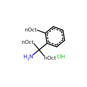 CCCCCCCCc1ccccc1C(N)(CCCCCCCC)CCCCCCCC.Cl